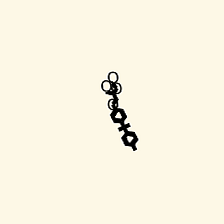 Cc1ccc(C(C)(C)c2ccc(OCC3COC(=O)O3)cc2)cc1